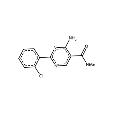 CNC(=O)c1cnc(-c2ccccc2Cl)nc1N